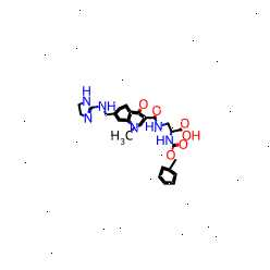 Cn1cc(C(=O)NCC(NC(=O)OCc2ccccc2)C(=O)O)c(=O)c2ccc(CNC3=NCCN3)cc21